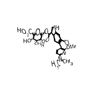 COc1nc(N(C)C)ccc1-c1cc2c(C(=O)O[C@@H]3O[C@H](C(=O)O)[C@@H](O)[C@H](O)[C@H]3O)c[nH]c2cc1Cl